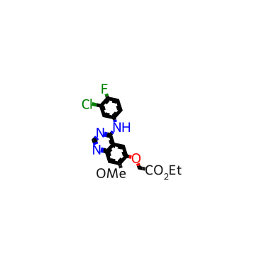 CCOC(=O)COc1cc2c(Nc3ccc(F)c(Cl)c3)ncnc2cc1OC